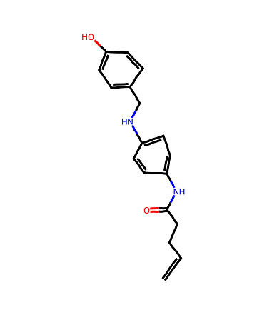 C=CCCC(=O)Nc1ccc(NCc2ccc(O)cc2)cc1